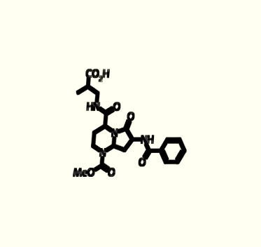 COC(=O)N1CCC(C(=O)NCC(C)C(=O)O)N2C(=O)C(NC(=O)c3ccccc3)CC12